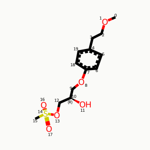 COCCc1ccc(OC[C@@H](O)COS(C)(=O)=O)cc1